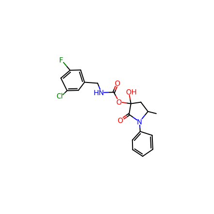 CC1CC(O)(OC(=O)NCc2cc(F)cc(Cl)c2)C(=O)N1c1ccccc1